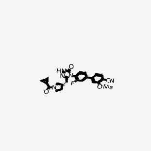 COc1cc(-c2ccc(-n3c(C[C@@H]4CCN(C(=O)C5CC5)C4)n[nH]c3=O)c(F)c2)ccc1C#N